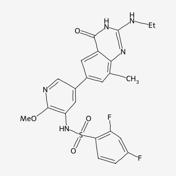 CCNc1nc2c(C)cc(-c3cnc(OC)c(NS(=O)(=O)c4ccc(F)cc4F)c3)cc2c(=O)[nH]1